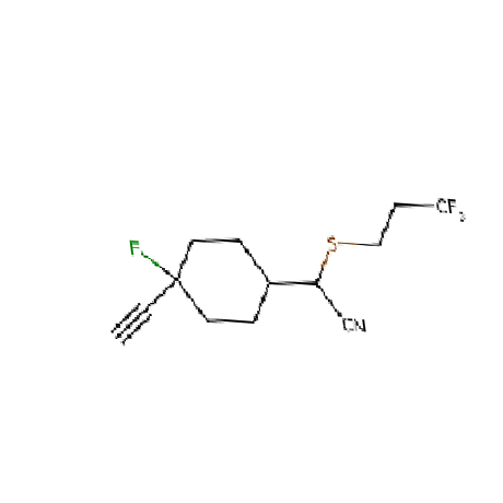 C#CC1(F)CCC(C(C#N)SCCC(F)(F)F)CC1